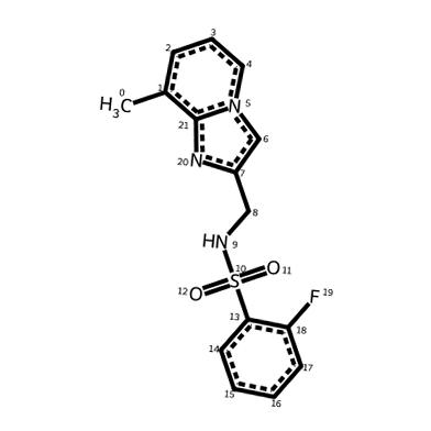 Cc1cccn2cc(CNS(=O)(=O)c3ccccc3F)nc12